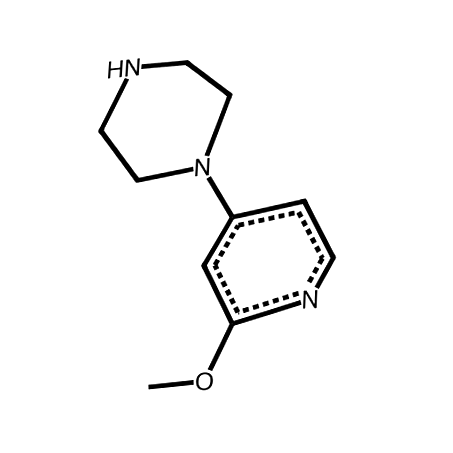 COc1cc(N2CCNCC2)ccn1